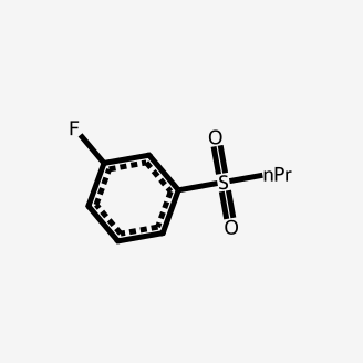 C[CH]CS(=O)(=O)c1cccc(F)c1